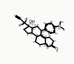 C#CC(F)(F)[C@]1(O)CCC2C3CCC4=CC(=O)CCC4=C3C(c3ccc(N(C)C)cc3)C[C@@]21C